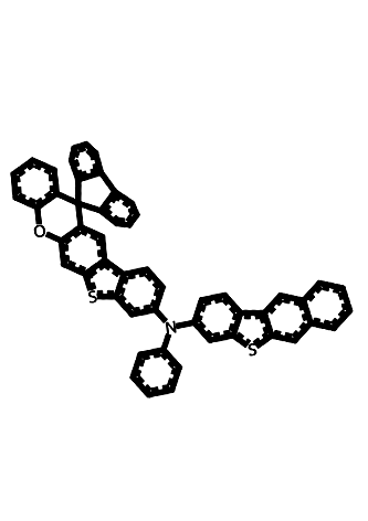 c1ccc(N(c2ccc3c(c2)sc2cc4c(cc23)C2(c3ccccc3O4)c3ccccc3-c3ccccc32)c2ccc3c(c2)sc2cc4ccccc4cc23)cc1